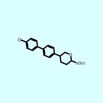 CCCCCCCCC1CCC(c2ccc(-c3ccc(Cl)cc3)cc2)CO1